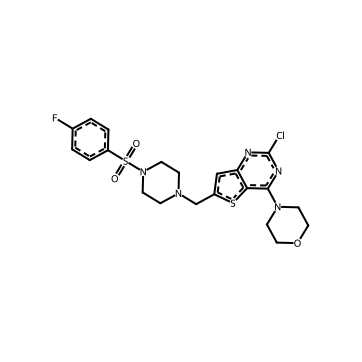 O=S(=O)(c1ccc(F)cc1)N1CCN(Cc2cc3nc(Cl)nc(N4CCOCC4)c3s2)CC1